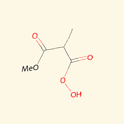 COC(=O)C(C)C(=O)OO